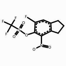 O=[N+]([O-])c1c2c(cc(F)c1OS(=O)(=O)C(F)(F)F)CCC2